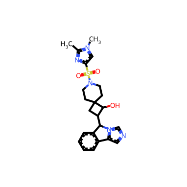 Cc1nc(S(=O)(=O)N2CCC3(CC2)CC(C2c4ccccc4-c4cncn42)C3O)cn1C